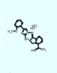 COc1ccccc1-c1cn(N=C2CCc3c(C(=N)N)cccc32)c(N)n1.Cl.Cl